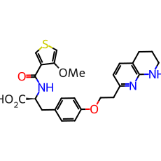 COc1cscc1C(=O)N[C@@H](Cc1ccc(OCCc2ccc3c(n2)NCCC3)cc1)C(=O)O